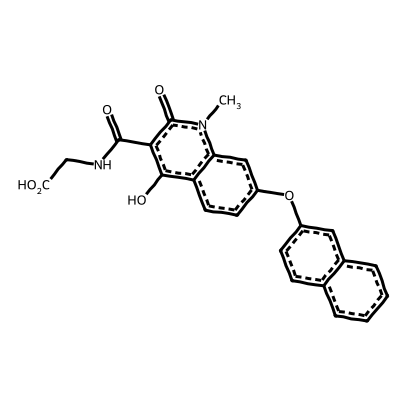 Cn1c(=O)c(C(=O)NCC(=O)O)c(O)c2ccc(Oc3ccc4ccccc4c3)cc21